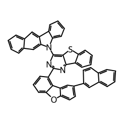 c1ccc2cc(-c3ccc4oc5cccc(-c6nc(-n7c8ccccc8c8cc9ccccc9cc87)c7sc8ccccc8c7n6)c5c4c3)ccc2c1